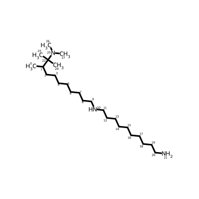 CC(CCCCCCCCNCCCCCCCCCCN)C(C)(C)N(C)C